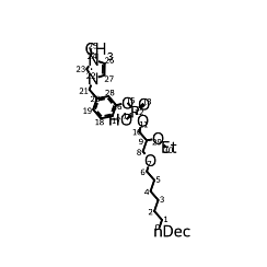 CCCCCCCCCCCCCCCCOCC(COP(=O)(O)Oc1cccc(CN2[CH]N(C)C=C2)c1)OCC